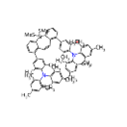 CS[Si]1(SC)c2cccc(-c3cc(C)c(N(c4c(C)cc(C)cc4C)c4c(C)cc(C)cc4C)c(C)c3)c2C=Cc2c(-c3cc(C)c(N(c4c(C)cc(C)cc4C)c4c(C)cc(C)cc4C)c(C)c3)cccc21